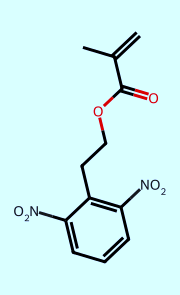 C=C(C)C(=O)OCCc1c([N+](=O)[O-])cccc1[N+](=O)[O-]